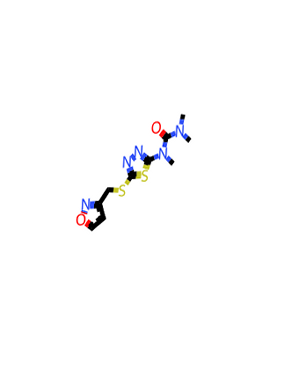 CN(C)C(=O)N(C)c1nnc(SCc2ccon2)s1